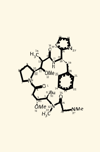 CC[C@H](C)C([C@@H](CC(=O)N1CCC[C@H]1C(OC)C(C)C(=O)N[C@@H](Cc1ccccc1)c1nccs1)OC)N(C)C(=O)CNC